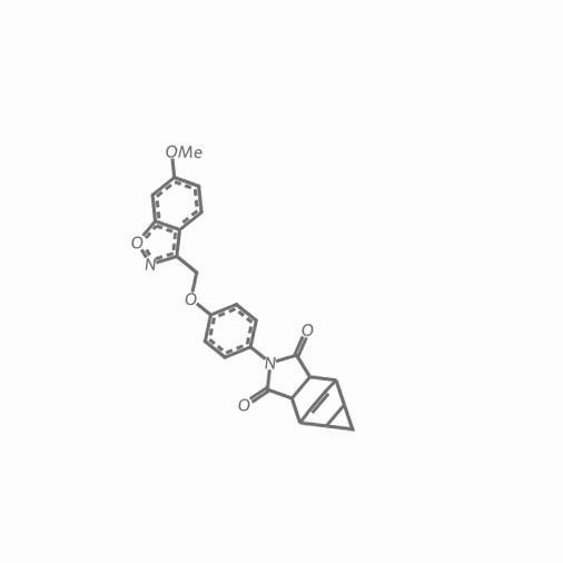 COc1ccc2c(COc3ccc(N4C(=O)C5C6C=CC(C7CC67)C5C4=O)cc3)noc2c1